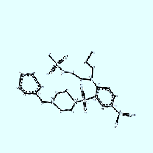 CCCN(CCOS(C)(=O)=O)c1ccc([N+](=O)[O-])cc1S(=O)(=O)N1CCN(Cc2ccccc2)CC1